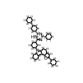 c1ccc(C2=NC(c3ccc(-c4ccccc4)cc3)NC(c3cccc(-n4c5ccccc5c5c6oc(-c7ccccc7)cc6ccc54)c3)=N2)cc1